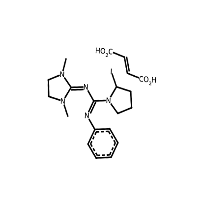 CN1CCN(C)C1=NC(=Nc1ccccc1)N1CCCC1I.O=C(O)C=CC(=O)O